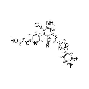 [C-]#[N+]c1c(N)nc(SCc2coc(-c3ccc(F)c(F)c3)n2)c(C#N)c1-c1ccc(OCCO)nc1